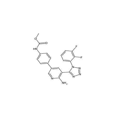 COC(=O)Nc1ccc(-c2cnc(N)c(-c3nnnn3-c3cccc(F)c3F)c2)cc1